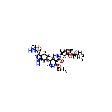 CNC(=O)c1n[nH]c2cc(-c3cnc(OC)c(C(=O)N[C@@H](C)CC(=O)OC(C)(C)C)c3)ccc12